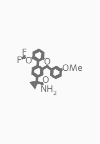 COc1cccc(C2Oc3cccc(OC(F)F)c3-c3ccc(C4(C(N)=O)CC4)cc32)c1